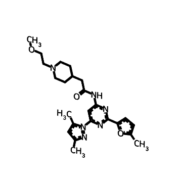 COCCN1CCC(CC(=O)Nc2cc(-n3nc(C)cc3C)nc(-c3ccc(C)o3)n2)CC1